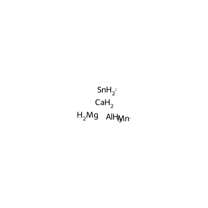 [AlH3].[CaH2].[MgH2].[Mn].[SnH2]